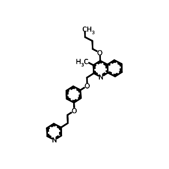 CCCCOc1c(C)c(COc2cccc(OCCc3cccnc3)c2)nc2ccccc12